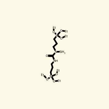 CCO[Si](CCCNC(=O)N([SiH3])CCC[Si](OCC)(OCC)OCC)(OCC)OCC